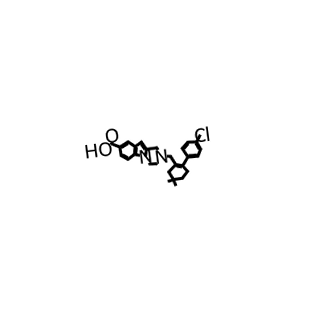 CC1(C)CCC(c2ccc(Cl)cc2)=C(CN2CCn3c(cc4cc(C(=O)O)ccc43)C2)C1